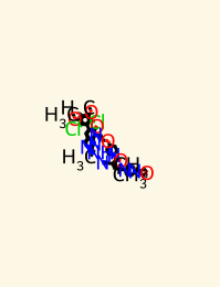 CNc1ncc2cc(-c3c(Cl)c(OC)cc(OC)c3Cl)c(=O)n(CCOC3CCN(C(=O)/C(C#N)=C\C(C)(C)N4CCN(C5COC5)CC4)CC3)c2n1